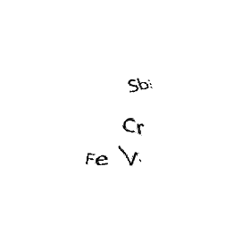 [Cr].[Fe].[Sb].[V]